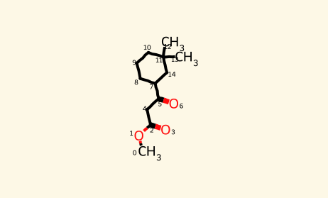 COC(=O)CC(=O)C1CCCC(C)(C)C1